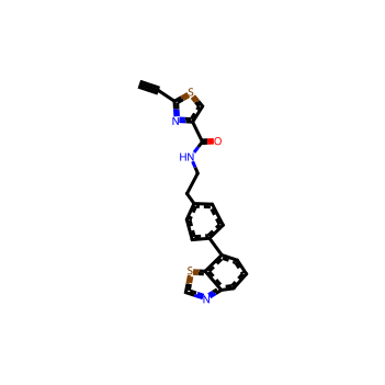 C#Cc1nc(C(=O)NCCc2ccc(-c3cccc4ncsc34)cc2)cs1